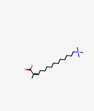 CC(=CCCCCCCCCCCC[N+](C)(C)C)C(=O)[O-]